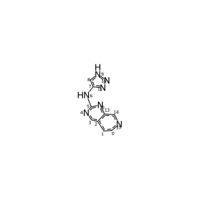 c1cc2cnc(Nc3c[nH]nn3)nc2cn1